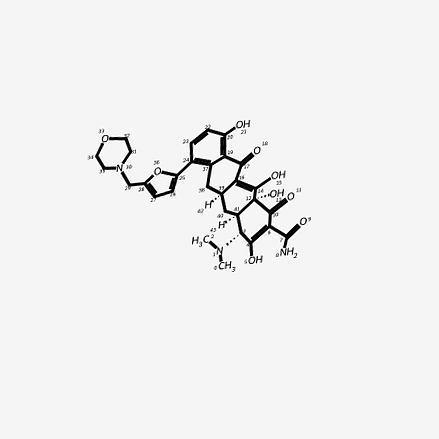 CN(C)[C@H]1C(O)=C(C(N)=O)C(=O)[C@]2(O)C(O)=C3C(=O)c4c(O)ccc(-c5ccc(CN6CCOCC6)o5)c4C[C@@H]3C[C@H]12